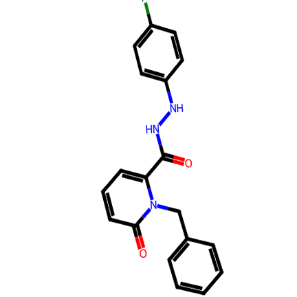 O=C(NNc1ccc(F)cc1)c1cccc(=O)n1Cc1ccccc1